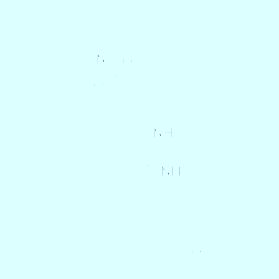 Cc1c(C(=O)NCCC2CCOCC2)[nH]c2ccc(S(=O)(=O)N3CCCCCC3)cc12